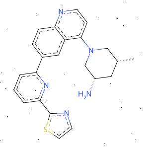 C[C@@H]1C[C@H](N)CN(c2ccnc3ccc(-c4cccc(-c5nccs5)n4)cc23)C1